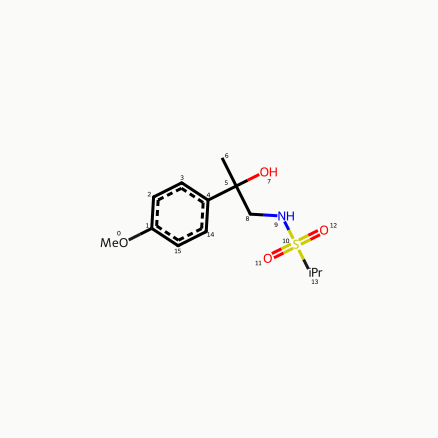 COc1ccc(C(C)(O)CNS(=O)(=O)C(C)C)cc1